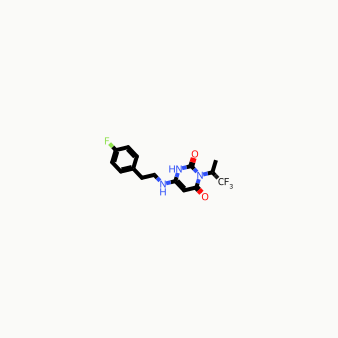 CC(n1c(=O)cc(NCCc2ccc(F)cc2)[nH]c1=O)C(F)(F)F